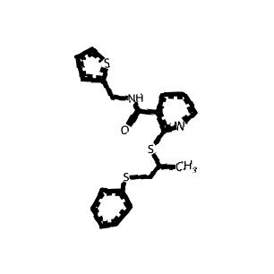 CC(CSc1ccccc1)Sc1ncccc1C(=O)NCc1cccs1